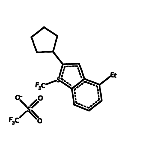 CCc1cccc2c1cc(C1CCCC1)[s+]2C(F)(F)F.O=S(=O)([O-])C(F)(F)F